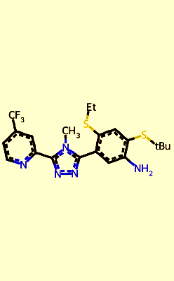 CCSc1cc(SC(C)(C)C)c(N)cc1-c1nnc(-c2cc(C(F)(F)F)ccn2)n1C